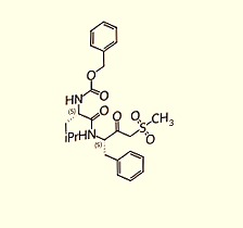 CC(C)C[C@H](NC(=O)OCc1ccccc1)C(=O)N[C@@H](Cc1ccccc1)C(=O)CS(C)(=O)=O